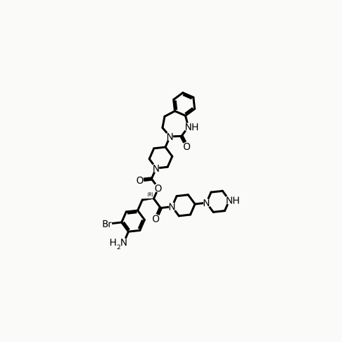 Nc1ccc(C[C@@H](OC(=O)N2CCC(N3CCc4ccccc4NC3=O)CC2)C(=O)N2CCC(N3CCNCC3)CC2)cc1Br